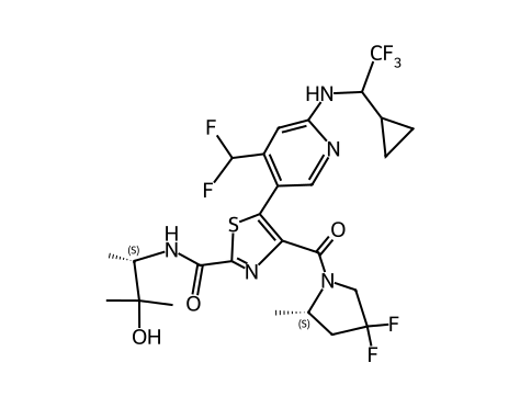 C[C@H](NC(=O)c1nc(C(=O)N2CC(F)(F)C[C@@H]2C)c(-c2cnc(NC(C3CC3)C(F)(F)F)cc2C(F)F)s1)C(C)(C)O